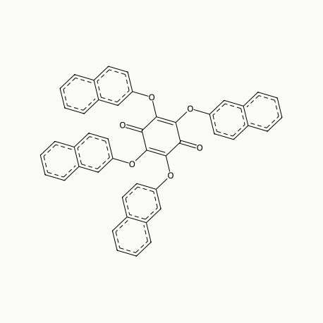 O=C1C(Oc2ccc3ccccc3c2)=C(Oc2ccc3ccccc3c2)C(=O)C(Oc2ccc3ccccc3c2)=C1Oc1ccc2ccccc2c1